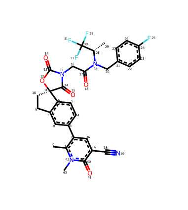 Cc1c(-c2ccc3c(c2)CC[C@@]32OC(=O)N(CC(=O)N(Cc3ccc(F)cc3)[C@@H](C)C(F)(F)F)C2=O)cc(C#N)c(=O)n1C